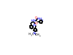 CN(C)c1ccc(CN2C(=O)C(N[C@@H](Cc3ccccc3)C(N)=O)CCc3ccccc32)cc1